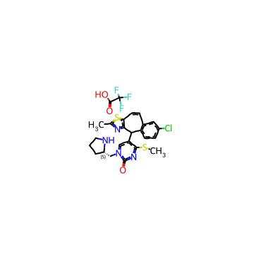 CSc1nc(=O)n(C[C@@H]2CCCN2)cc1C1c2ccc(Cl)cc2C=Cc2sc(C)nc21.O=C(O)C(F)(F)F